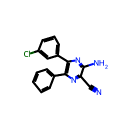 N#Cc1nc(-c2ccccc2)c(-c2cccc(Cl)c2)nc1N